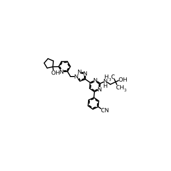 CC(C)(O)CNc1nc(-c2cccc(C#N)c2)cc(-c2cn(Cc3cccc(C4(O)CCCC4)n3)nn2)n1